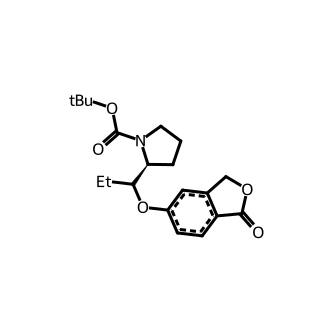 CCC(Oc1ccc2c(c1)COC2=O)[C@@H]1CCCN1C(=O)OC(C)(C)C